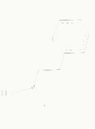 C=C(C)CCc1[c]cccc1